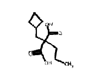 CCCC(CC1CCC1)(C(=O)O)C(=O)O